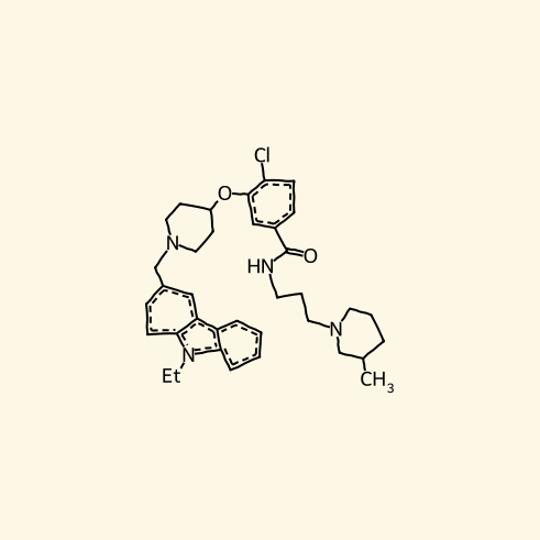 CCn1c2ccccc2c2cc(CN3CCC(Oc4cc(C(=O)NCCCN5CCCC(C)C5)ccc4Cl)CC3)ccc21